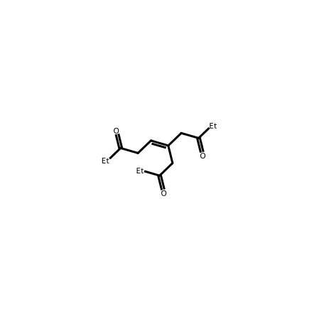 CCC(=O)CC=C(CC(=O)CC)CC(=O)CC